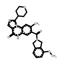 COc1cccc2c1CN(C(=O)c1cc3[nH]c(=O)c4cnc(C5CCOCC5)n4c3cc1C)C2